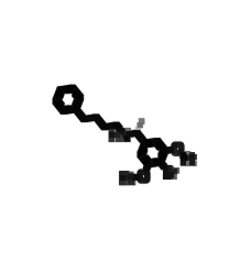 CCOc1cc([C@@H](C)NCCCCc2ccccc2)cc(OCC)c1Br